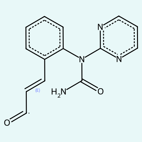 NC(=O)N(c1ncccn1)c1ccccc1/C=C/[C]=O